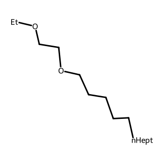 [CH2]COCCOCCCCCCCCCCCC